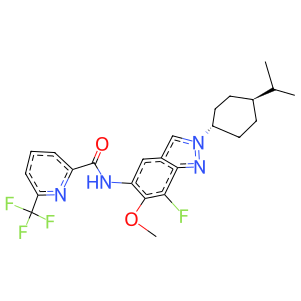 COc1c(NC(=O)c2cccc(C(F)(F)F)n2)cc2cn([C@H]3CC[C@H](C(C)C)CC3)nc2c1F